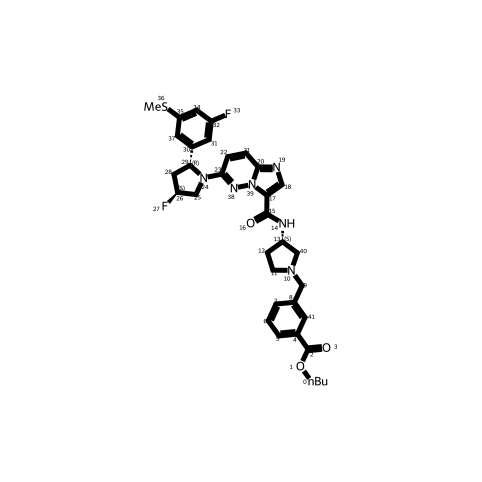 CCCCOC(=O)c1cccc(CN2CC[C@H](NC(=O)c3cnc4ccc(N5C[C@@H](F)C[C@@H]5c5cc(F)cc(SC)c5)nn34)C2)c1